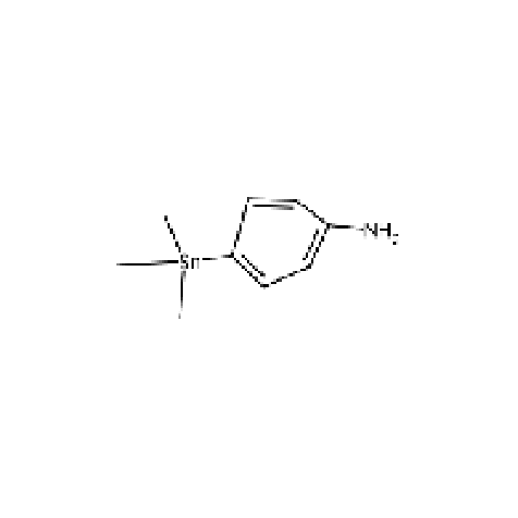 [CH3][Sn]([CH3])([CH3])[c]1ccc(N)cc1